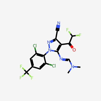 CN(C)C=Nc1c(C(=O)C(F)F)c(C#N)nn1-c1c(Cl)cc(C(F)(F)F)cc1Cl